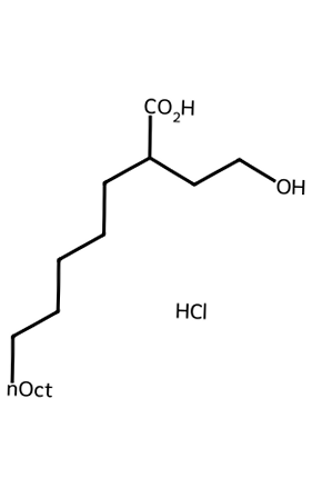 CCCCCCCCCCCCCC(CCO)C(=O)O.Cl